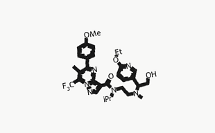 CCOc1ccc(C(CO)N(C)CCN(C(=O)c2cnn3c(C(F)(F)F)c(C)c(-c4ccc(OC)cc4)nc23)C(C)C)cn1